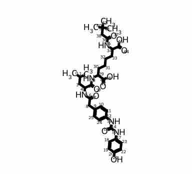 CC(C)CC(NC(=O)Cc1ccc(NC(=O)Nc2ccc(O)cc2)cc1)C(=O)NC(CCCCC(NC(=O)CC(C)(C)C)C(=O)O)C(=O)O